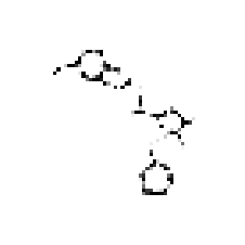 O=C(O)c1ccc2nc(NC(=O)c3cc(Br)c(Br)n3Cc3ccccc3)sc2c1